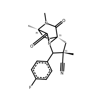 CN1C(=O)[C@@]23C[C@](C)(C#N)C(c4ccc(F)cc4)N2C(=O)[C@@]1(C)SS3